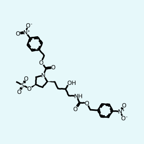 CS(=O)(=O)O[C@@H]1C[C@H](CCC(O)CNC(=O)OCc2ccc([N+](=O)[O-])cc2)N(C(=O)OCc2ccc([N+](=O)[O-])cc2)C1